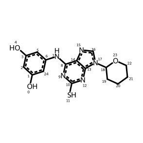 Oc1cc(O)cc(Nc2nc(S)nc3c2ncn3C2CCCCO2)c1